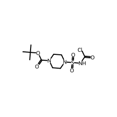 CC(C)(C)OC(=O)N1CCN(S(=O)(=O)NC(=O)Cl)CC1